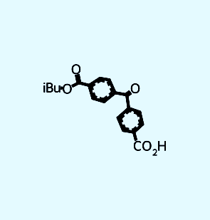 CCC(C)OC(=O)c1ccc(C(=O)c2ccc(C(=O)O)cc2)cc1